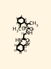 Cc1ccccc1C(C)S(=O)(=O)NCC(=O)Nc1ccccc1Br